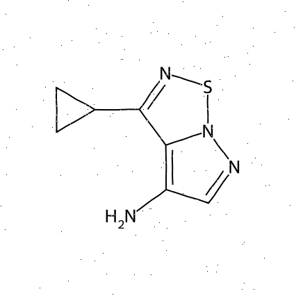 Nc1cnn2snc(C3CC3)c12